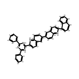 c1ccc(-c2nc(-c3ccccc3)nc(-c3ccc4cc(-c5ccc6nc(-c7cccc8ccccc78)ccc6c5)ccc4n3)n2)cc1